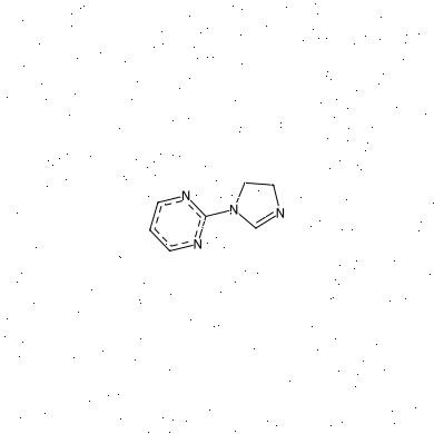 C1=NCCN1c1ncccn1